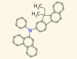 CCC1(C)c2cc(N(c3ccccc3)c3cc4ccccc4c4ccccc34)ccc2-c2ccc3ccccc3c21